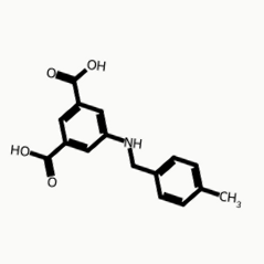 Cc1ccc(CNc2cc(C(=O)O)cc(C(=O)O)c2)cc1